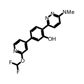 CNc1ccc(-c2ccc(-c3ccnc(OC(F)F)c3)cc2O)nn1